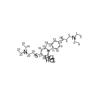 CCN(CC)CCSc1ccc2c(c1)Cc1cc(SCCN(CC)CC)ccc1-2.Cl.Cl